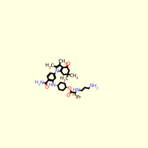 Cc1c2c(n(-c3ccc(C(N)=O)c(N[C@H]4CC[C@H](OC(=O)[C@@H](NCCCN)C(C)C)CC4)c3)c1C)CC(C)(C)CC2=O